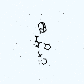 CC(C)(COc1noc(C(=O)N[C@H]2C3CC4CC2C[C@](O)(C4)C3)c1SC1CCCC1)N1CCCS1(=O)=O